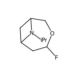 CC(C)N1C2COC(F)CC1C2